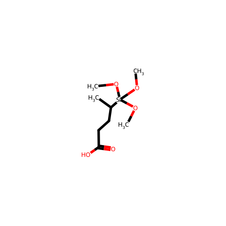 CO[Si](OC)(OC)C(C)CCC(=O)O